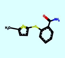 Cc1ccc(Sc2ccccc2C(N)=O)s1